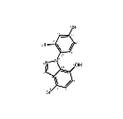 Oc1ccc(Br)c2cnn(-c3ccc(Br)cc3F)c12